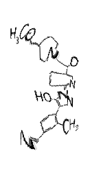 COCC1CCN(C(=O)c2ccc(-n3ncc(-c4ccc(C#N)cc4C)c3O)nc2)CC1